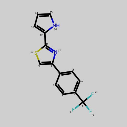 FC(F)(F)c1ccc(-c2csc(-c3ccc[nH]3)n2)cc1